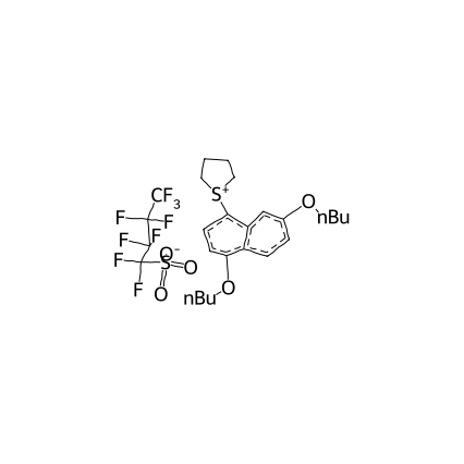 CCCCOc1ccc2c(OCCCC)ccc([S+]3CCCC3)c2c1.O=S(=O)([O-])C(F)(F)C(F)(F)C(F)(F)C(F)(F)F